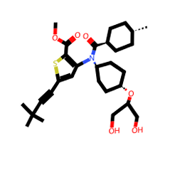 COC(=O)c1sc(C#CC(C)(C)C)cc1N(C(=O)[C@H]1CC[C@H](C)CC1)[C@H]1CC[C@@H](OC(CO)CO)CC1